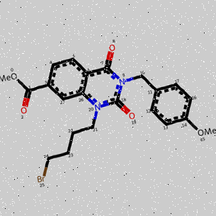 COC(=O)c1ccc2c(=O)n(Cc3ccc(OC)cc3)c(=O)n(CCCCBr)c2c1